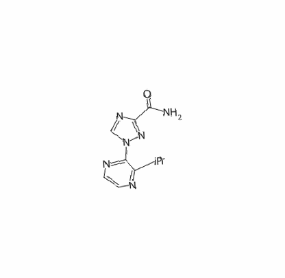 CC(C)c1nccnc1-n1cnc(C(N)=O)n1